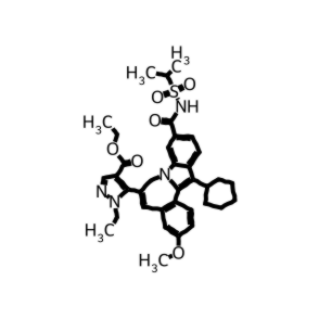 CCOC(=O)c1cnn(CC)c1C1=Cc2cc(OC)ccc2-c2c(C3CCCCC3)c3ccc(C(=O)NS(=O)(=O)C(C)C)cc3n2C1